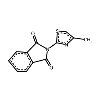 Cc1csc(N2C(=O)c3ccccc3C2=O)n1